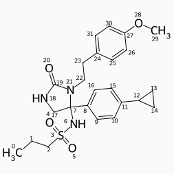 CCCS(=O)(=O)NC1(c2ccc(C3CC3)cc2)CNC(=O)N1CCc1ccc(OC)cc1